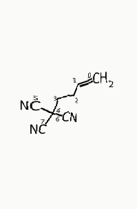 C=CCCC(C#N)(C#N)C#N